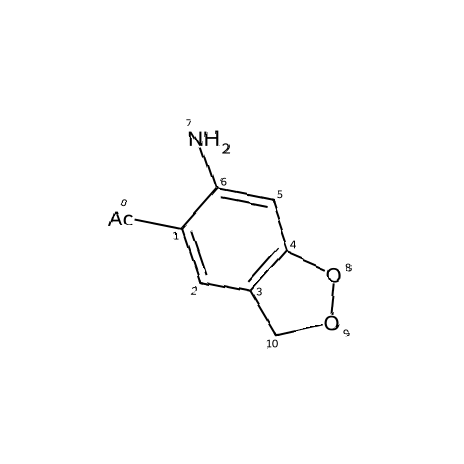 CC(=O)c1cc2c(cc1N)OOC2